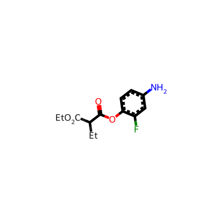 CCOC(=O)C(CC)C(=O)Oc1ccc(N)cc1F